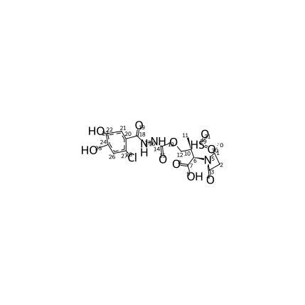 C[C@@H]1CC(=O)N1[C@@H](C(=O)O)[C@](C)(COC(=O)NNC(=O)c1cc(O)c(O)cc1Cl)[SH](=O)=O